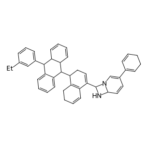 CCc1cccc(C2c3ccccc3C(C3CC=C(C4NC5C=CC(C6=CCCC=C6)=CN54)C4=C3CCC=C4)C3C=CC=CC23)c1